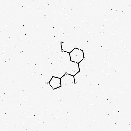 CC(C)OC1CCOC(CC(C)OC2CCNC2)C1